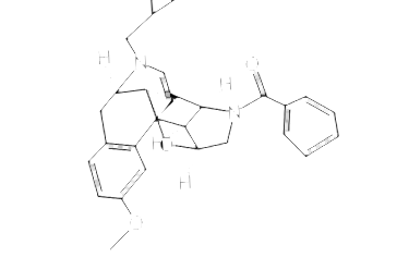 COc1ccc2c(c1)[C@]13C=CN(CC4CC4)[C@H](C2)[C@]12CC[C@@H]1[C@H]3[C@@H](CN1C(=O)c1ccccc1)O2